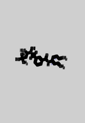 C=C/C=C\C(=C/C=C)NC(=O)c1cccc(S(=O)(=O)N(O)C(C)CC(C)(C)O)c1